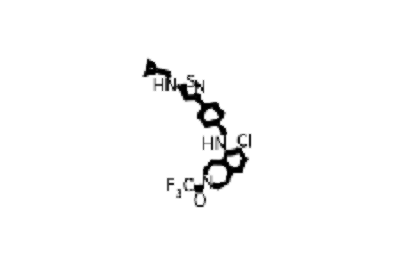 O=C(N1CCc2ccc(Cl)c(NCc3ccc(-c4cc(NCC5CC5)sn4)cc3)c2CC1)C(F)(F)F